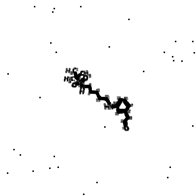 CC(C)(C)S(=O)(=O)NCCCCCNc1cccc(CC=O)c1